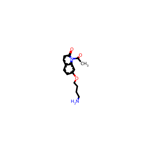 CC(=O)n1c(=O)ccc2ccc(OCCCCN)cc21